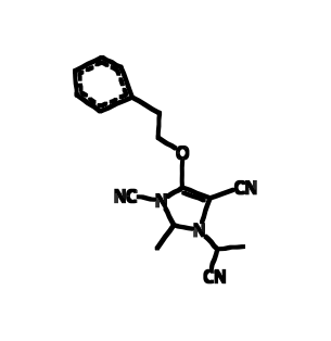 CC(C#N)N1C(C#N)=C(OCCc2ccccc2)N(C#N)C1C